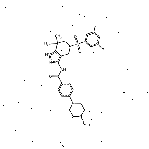 CN1CCN(c2ccc(C(=O)Nc3n[nH]c4c3CN(S(=O)(=O)c3cc(F)cc(F)c3)CC4(C)C)cc2)CC1